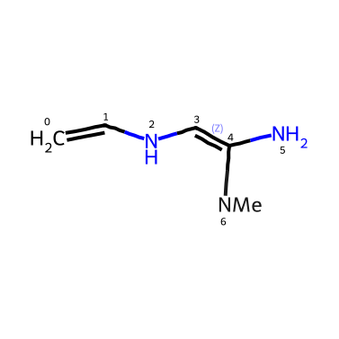 C=CN/C=C(/N)NC